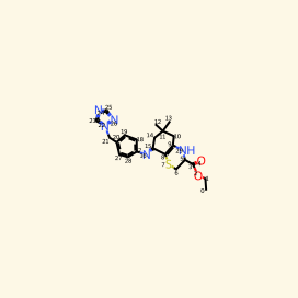 CCOC(=O)C1CSC2=C(CC(C)(C)C/C2=N\c2ccc(Cn3cncn3)cc2)N1